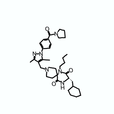 CCCCN1C(=O)[C@H](CC2CCCCC2)NC(=O)C12CCN(Cc1c(C)nn(-c3ccc(C(=O)N4CCCC4)cc3)c1C)CC2